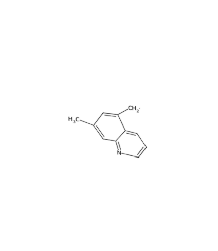 [CH2]c1cc(C)cc2ncccc12